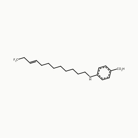 O=C(O)c1ccc(NCCCCCCCCC=CCC(F)(F)F)cc1